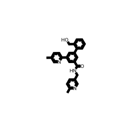 Cc1ccc(-c2cc(C(=O)NCc3ccc(C)nc3)cc(-c3ccccc3CO)c2)nc1